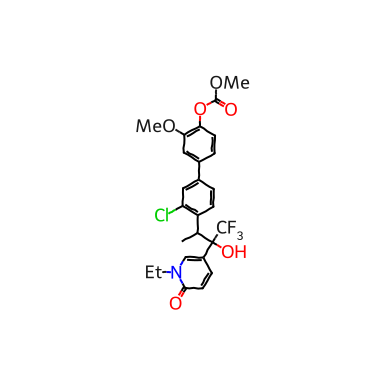 CCn1cc(C(O)(C(C)c2ccc(-c3ccc(OC(=O)OC)c(OC)c3)cc2Cl)C(F)(F)F)ccc1=O